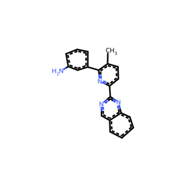 Cc1ccc(-c2ncc3ccccc3n2)nc1-c1cccc(N)c1